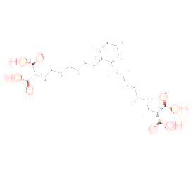 O=C(O)C(CCCCCCCC1CCCCC1CCCCCCCC(C(=O)O)C(=O)O)C(=O)O